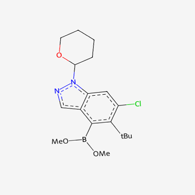 COB(OC)c1c(C(C)(C)C)c(Cl)cc2c1cnn2C1CCCCO1